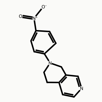 O=[N+]([O-])c1ccc(N2CCc3ccncc3C2)cc1